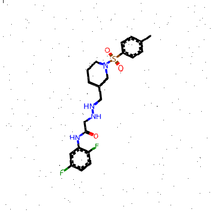 Cc1ccc(S(=O)(=O)N2CCCC(CNNCC(=O)Nc3cc(F)ccc3F)C2)cc1